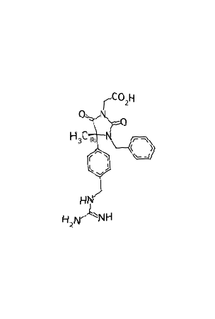 C[C@@]1(c2ccc(CNC(=N)N)cc2)C(=O)N(CC(=O)O)C(=O)N1Cc1ccccc1